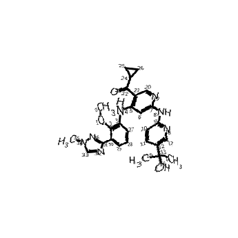 COc1c(Nc2cc(Nc3ccc(C(C)(C)O)cn3)ncc2C(=O)C2CC2)cccc1-c1ncn(C)n1